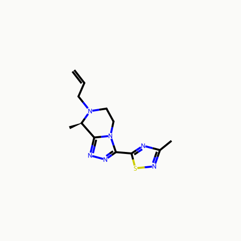 C=CCN1CCn2c(-c3nc(C)ns3)nnc2[C@H]1C